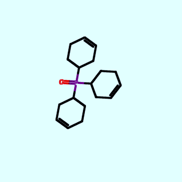 O=P(C1CC=CCC1)(C1CC=CCC1)C1CC=CCC1